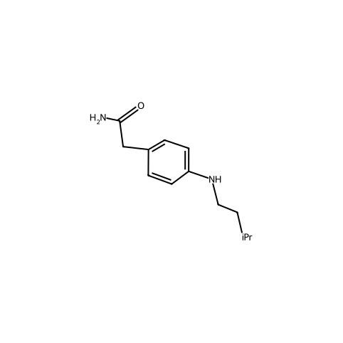 CC(C)CCNc1ccc(CC(N)=O)cc1